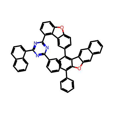 c1ccc(-c2nc(-c3cccc4ccccc34)nc(-c3cccc4oc5ccc(-c6ccc(-c7ccccc7)c7oc8cc9ccccc9cc8c67)cc5c34)n2)cc1